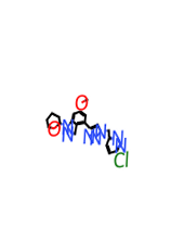 COc1cc(-c2cn(Cc3ccc(Cl)nn3)nn2)c2cnn(C3CCCCO3)c2c1